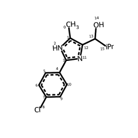 Cc1[nH]c(-c2ccc(Cl)cc2)nc1C(O)C(C)C